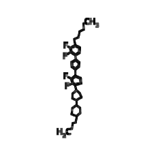 C=CCCC1CCC(C2CCC(c3ccc(-c4ccc(-c5ccc(CCCCCC)c(F)c5F)cc4)c(F)c3F)CC2)CC1